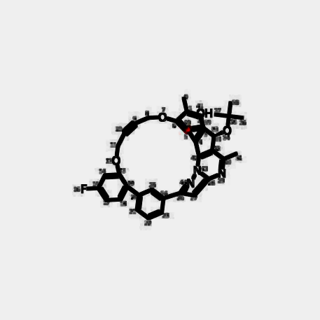 Cc1ccc2cc1OCC#CCOc1cc(F)ccc1-c1cccc(c1)-c1cc3nc(C)c([C@H](OC(C)(C)C)C(=O)O)c-2n3n1